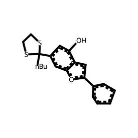 CCCCC1(c2cc(O)c3cc(-c4ccccc4)oc3c2)SCCS1